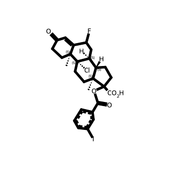 C[C@]12CC[C@]3(Cl)[C@@H](CC(F)C4=CC(=O)CC[C@@]43C)[C@@H]1CCC2(OC(=O)c1cccc(I)c1)C(=O)O